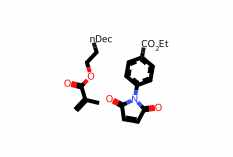 C=C(C)C(=O)OCCCCCCCCCCCC.CCOC(=O)c1ccc(N2C(=O)C=CC2=O)cc1